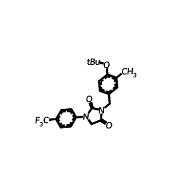 Cc1cc(CN2C(=O)CN(c3ccc(C(F)(F)F)cc3)C2=O)ccc1OC(C)(C)C